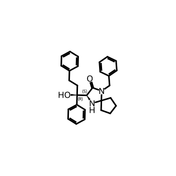 O=C1[C@H]([C@@](O)(CCc2ccccc2)c2ccccc2)NC2(CCCC2)N1Cc1ccccc1